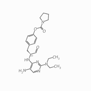 CCN(CC)c1ncc(N)c(N[C@H](C=O)Cc2ccc(OC(=O)N3CCCC3)cc2)n1